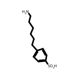 NCCCCCCc1ccc(S(=O)(=O)O)cc1